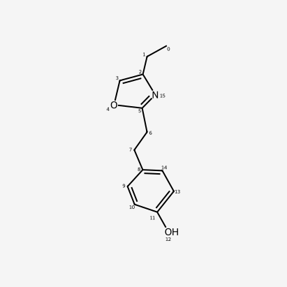 CCc1coc(CCc2ccc(O)cc2)n1